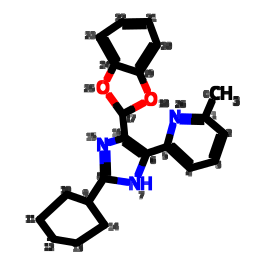 Cc1cccc(-c2[nH]c(C3CC[CH]CC3)nc2C2Oc3ccccc3O2)n1